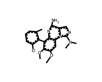 COc1cc2c(nc(N)c3cnc(N(C)C)n32)c(-c2c(C)cccc2Cl)c1OC